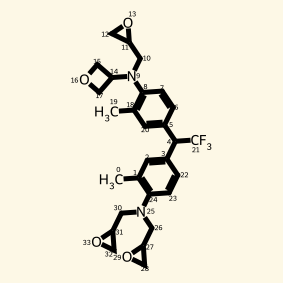 Cc1cc(C(c2ccc(N(CC3CO3)C3COC3)c(C)c2)C(F)(F)F)ccc1N(CC1CO1)CC1CO1